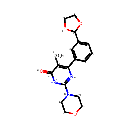 CCOC(=O)c1c(-c2cccc(C3OCCO3)c2)nc(N2CCOCC2)[nH]c1=O